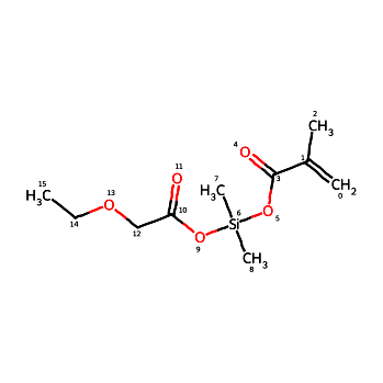 C=C(C)C(=O)O[Si](C)(C)OC(=O)COCC